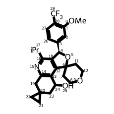 COc1cc([C@H]2OC3(CCOCC3)c3c4c(nc(C(C)C)c32)CC2(CC2)CC4O)ccc1C(F)(F)F